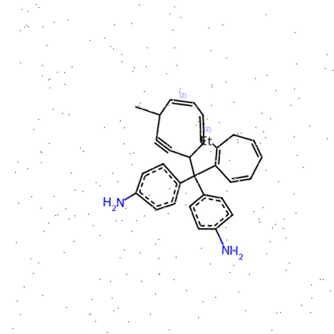 CCC1=C(C(c2ccc(N)cc2)(c2ccc(N)cc2)C2C#CC(C)/C=C\C=C/2)C=CC=CC1